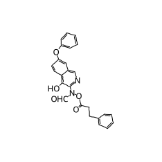 O=CN(OC(=O)CCc1ccccc1)c1ncc2cc(Oc3ccccc3)ccc2c1O